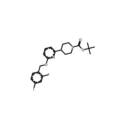 CC(C)(C)OC(=O)N1CCC(c2cccc(OCc3ccc(I)cc3F)n2)CC1